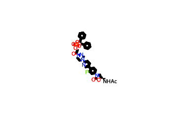 CC(=O)NC[C@H]1CN(c2ccc(-c3ccc(N4C=NN(C(=O)COP(=O)(OCc5ccccc5)OCc5ccccc5)CC4)nc3)c(F)c2)C(=O)O1